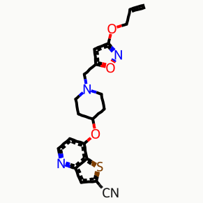 C=CCOc1cc(CN2CCC(Oc3ccnc4cc(C#N)sc34)CC2)on1